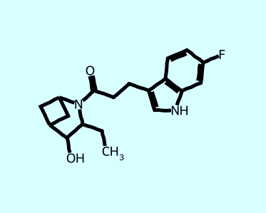 CCC1C(O)C2CC(C2)N1C(=O)CCc1c[nH]c2cc(F)ccc12